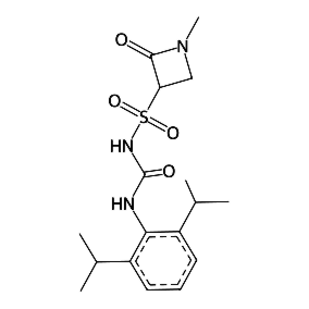 CC(C)c1cccc(C(C)C)c1NC(=O)NS(=O)(=O)C1CN(C)C1=O